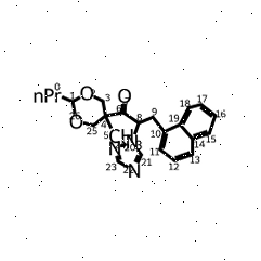 CCCC1OCC(C)(C(=O)C(Cc2cccc3ccccc23)n2cncn2)CO1